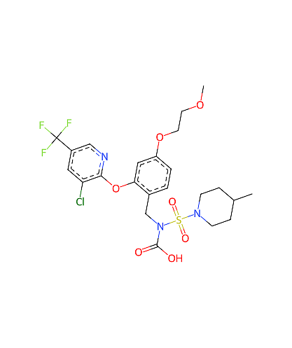 COCCOc1ccc(CN(C(=O)O)S(=O)(=O)N2CCC(C)CC2)c(Oc2ncc(C(F)(F)F)cc2Cl)c1